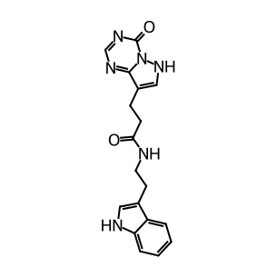 O=C(CCc1c[nH]n2c(=O)ncnc12)NCCc1c[nH]c2ccccc12